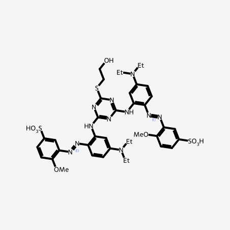 CCN(CC)c1ccc(/N=N/c2cc(S(=O)(=O)O)ccc2OC)c(Nc2nc(Nc3cc(N(CC)CC)ccc3/N=N/c3cc(S(=O)(=O)O)ccc3OC)nc(SCCO)n2)c1